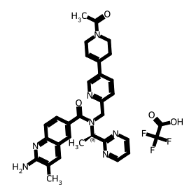 CC(=O)N1CC=C(c2ccc(CN(C(=O)c3ccc4nc(N)c(C)cc4c3)[C@H](C)c3ncccn3)nc2)CC1.O=C(O)C(F)(F)F